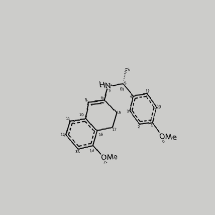 COc1ccc([C@@H](C)NC2=Cc3cccc(OC)c3CC2)cc1